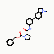 Cn1ccc2cc(-c3cccc(NC(=O)[C@@H]4CCCN4C(=O)OCc4ccccc4)c3)ccc21